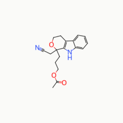 CC(=O)OCCCC1(CC#N)OCCc2c1[nH]c1ccccc21